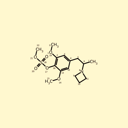 COc1cc(CC(C)N2CCC2)cc(OC)c1OS(=O)(=O)OC